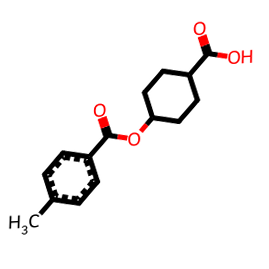 Cc1ccc(C(=O)OC2CCC(C(=O)O)CC2)cc1